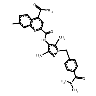 Cc1nn(Cc2ccc(C(=O)N(C)C)cc2)c(C)c1NC(=O)c1cc(C(N)=O)c2ccc(F)cc2n1